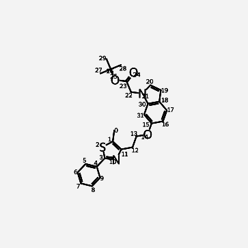 Cc1sc(-c2ccccc2)nc1CCOc1ccc2ccn(CC(=O)OC(C)(C)C)c2c1